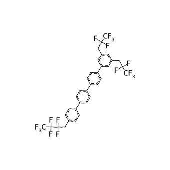 FC(F)(F)C(F)(F)Cc1cc(CC(F)(F)C(F)(F)F)cc(-c2ccc(-c3ccc(-c4ccc(CC(F)(F)C(F)(F)C(F)(F)F)cc4)cc3)cc2)c1